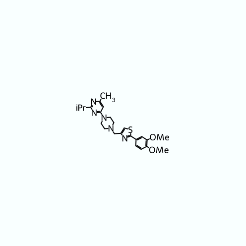 COc1ccc(-c2nc(CN3CCN(c4cc(C)nc(C(C)C)n4)CC3)cs2)cc1OC